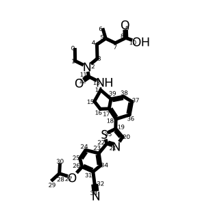 CCN(CCC(C)CC(=O)O)C(=O)N[C@H]1CCc2c(-c3cnc(-c4ccc(OC(C)C)c(C#N)c4)s3)cccc21